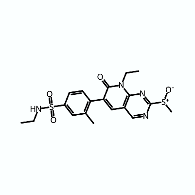 CCNS(=O)(=O)c1ccc(-c2cc3cnc([S+](C)[O-])nc3n(CC)c2=O)c(C)c1